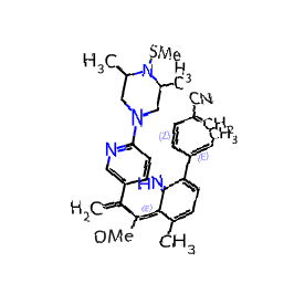 C=C(C#N)/C=C\C(=C/C)C1=CC=C(C)/C(=C(\OC)C(=C)c2ccc(N3CC(C)N(SC)C(C)C3)nc2)C1=N